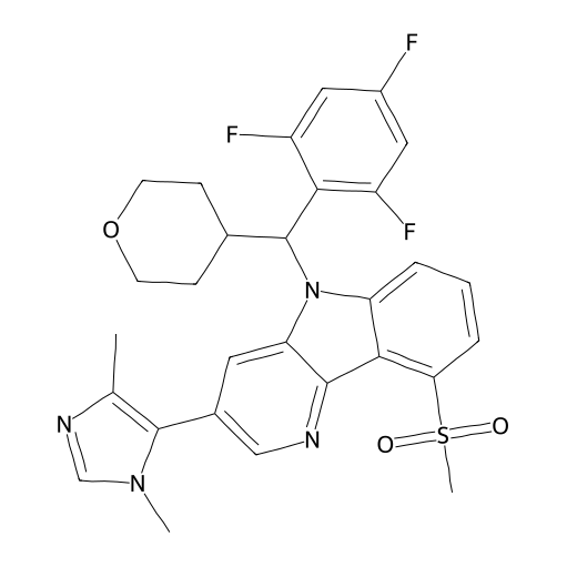 Cc1ncn(C)c1-c1cnc2c3c(S(C)(=O)=O)cccc3n(C(c3c(F)cc(F)cc3F)C3CCOCC3)c2c1